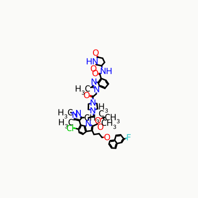 Cc1nn(C)c(C)c1-c1c(Cl)ccc2c(CCCOc3cccc4cc(F)ccc34)c(C(=O)OC(C)(C)C)n(CCN3CCN(C(=O)Cn4c(C)nc5c(C(=O)NC6CCC(=O)NC6=O)cccc54)CC3)c12